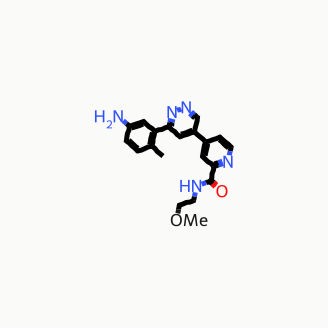 COCCNC(=O)c1cc(-c2cnnc(-c3cc(N)ccc3C)c2)ccn1